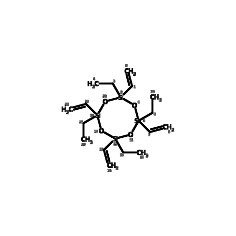 C=C[Si]1(CC)O[Si](C=C)(CC)O[Si](C=C)(CC)O[Si](C=C)(CC)O1